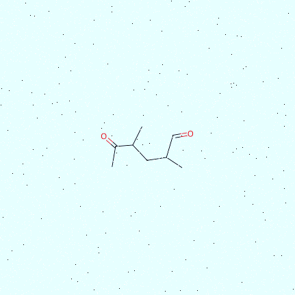 CC(=O)C(C)CC(C)C=O